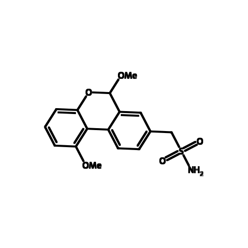 COc1cccc2c1-c1ccc(CS(N)(=O)=O)cc1C(OC)O2